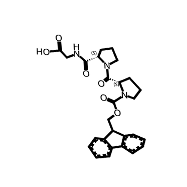 O=C(O)CNC(=O)[C@@H]1CCCN1C(=O)[C@@H]1CCCN1C(=O)OCC1c2ccccc2-c2ccccc21